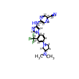 CN(C)[C@@H]1CCN(c2ccc(-n3cnc(Nc4cnc(C#N)cn4)c3)c(C(F)(F)F)c2)C1